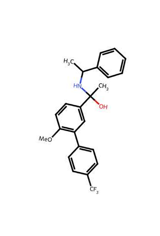 COc1ccc(C(C)(O)NC(C)c2ccccc2)cc1-c1ccc(C(F)(F)F)cc1